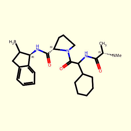 BC1Cc2ccccc2[C@@H]1NC(=O)[C@@H]1CCCN1C(=O)C(NC(=O)[C@H](C)NC)C1CCCCC1